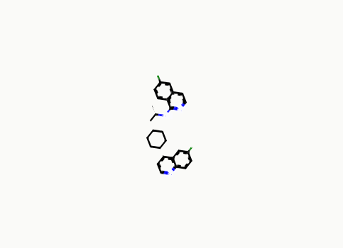 C[C@H](C[C@H]1CC[C@@H](c2ccnc3ccc(F)cc32)CC1)Nc1nccc2cc(Cl)ccc12